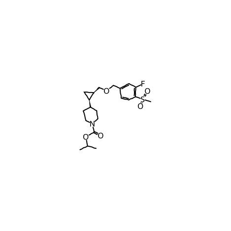 CC(C)OC(=O)N1CCC([C@H]2C[C@H]2COCc2ccc(S(C)(=O)=O)c(F)c2)CC1